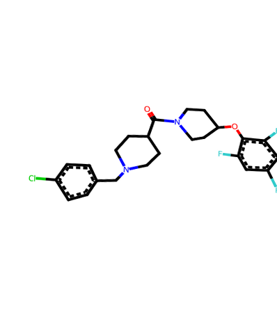 O=C(C1CCN(Cc2ccc(Cl)cc2)CC1)N1CCC(Oc2c(F)cc(F)cc2F)CC1